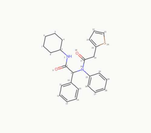 O=C(NC1CCCCC1)C(c1ccccc1)N(C(=O)Cc1cccs1)c1ccccc1